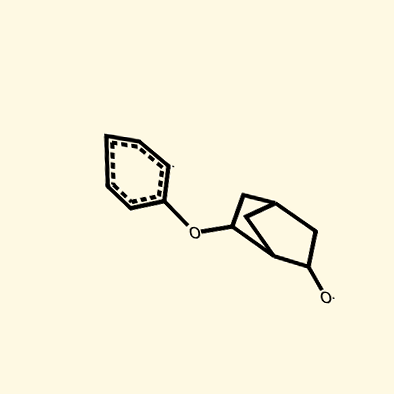 [O]C1CC2CC(Oc3[c]cccc3)C1C2